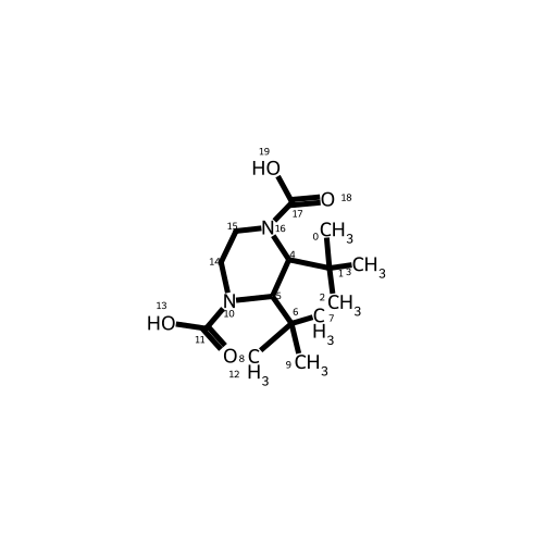 CC(C)(C)C1C(C(C)(C)C)N(C(=O)O)CCN1C(=O)O